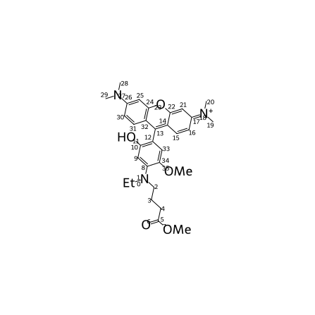 CCN(CCCC(=O)OC)c1cc(O)c(-c2c3ccc(=[N+](C)C)cc-3oc3cc(N(C)C)ccc23)cc1OC